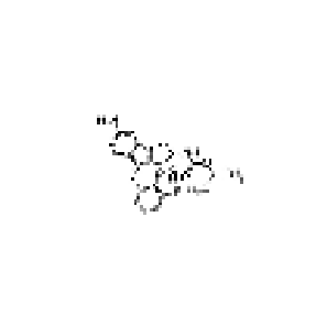 COc1c(F)cccc1Cn1c2c(c3cc(N)ccc31)C[C@H](NC(=O)OC(C)C)C2